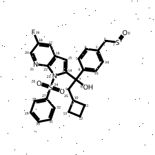 O=[S+]Cc1ccc(C(O)(CC2CCC2)c2cc3cc(F)cnc3n2S(=O)(=O)c2ccccc2)cc1